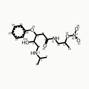 CC(C)NCC(O)C(CC(=O)NCC(C)O[N+](=O)[O-])Oc1ccccc1